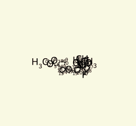 CCOC(=O)CC(CC1CC1)c1cccc(OCc2ccc(-c3cc(OC)ccc3F)c(S(=O)(=O)C(C)C)c2)c1